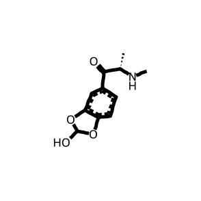 CN[C@@H](C)C(=O)c1ccc2c(c1)OC(O)O2